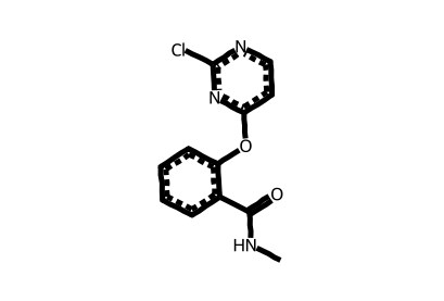 CNC(=O)c1ccccc1Oc1ccnc(Cl)n1